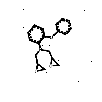 c1ccc(Oc2ccccc2N(CC2CO2)CC2CO2)cc1